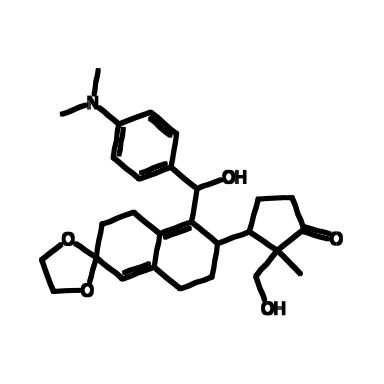 CN(C)c1ccc(C(O)C2=C3CCC4(C=C3CCC2C2CCC(=O)C2(C)CO)OCCO4)cc1